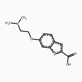 CN(C)CCOc1ccc2cc(C(=O)O)sc2c1